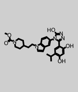 COC(=O)N1CCC(CCn2ccc3cc(-n4c(O)nnc4-c4cc(C(C)C)c(O)cc4O)ccc32)CC1